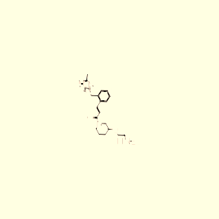 CCNC(=O)COC1CCCN(C(=O)/C=C/c2ccc(Cl)cc2Cn2nnc(C)n2)C1